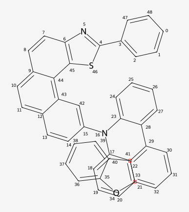 c1ccc(-c2nc3ccc4ccc5ccc(N(c6ccccc6)c6ccccc6-c6cccc7oc8ccccc8c67)cc5c4c3s2)cc1